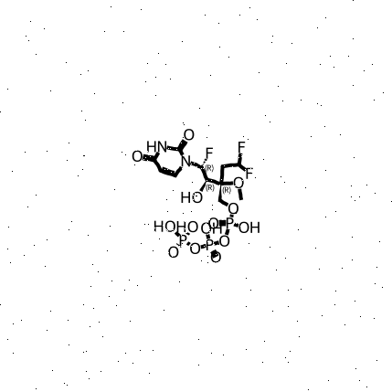 CO[C@@](COP(=O)(O)OP(=O)(O)OP(=O)(O)O)(CC(F)F)[C@@H](O)[C@@H](F)n1ccc(=O)[nH]c1=O